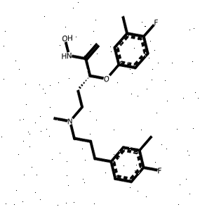 C=C(NO)[C@@H](CCN(C)CCCc1ccc(F)c(C)c1)Oc1ccc(F)c(C)c1